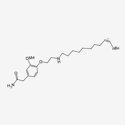 CCCC/C=C\CCCCCCCCNCCOc1ccc(CC(N)=O)cc1OC